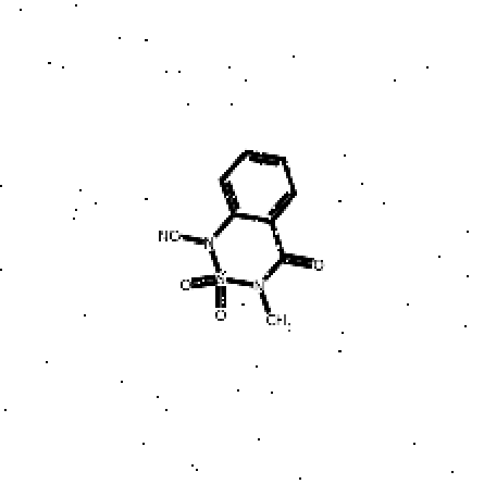 CN1C(=O)c2ccccc2N(C#N)S1(=O)=O